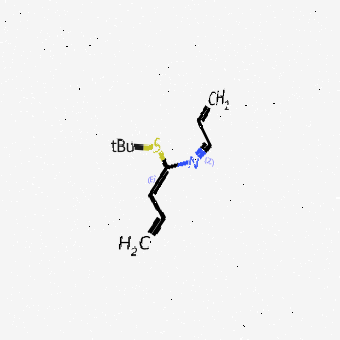 C=C/C=N\C(=C/C=C)SC(C)(C)C